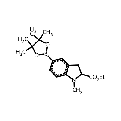 CCOC(=O)C1Cc2cc(B3OC(C)(C)C(C)(C)O3)ccc2N1C